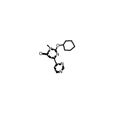 Cn1c(OC2CCCCC2)nc(-c2ccncn2)cc1=O